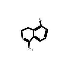 CC(=O)c1cccc2c1CCN=C2C